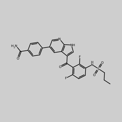 CCCS(=O)(=O)Nc1ccc(F)c(C(=O)c2c[nH]c3ncc(-c4ccc(C(N)=O)cc4)cc23)c1F